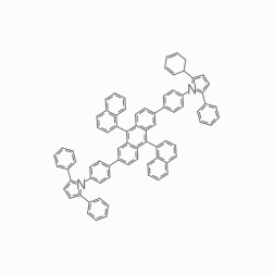 C1=CCC(c2ccc(-c3ccccc3)n2-c2ccc(-c3ccc4c(-c5cccc6ccccc56)c5cc(-c6ccc(-n7c(-c8ccccc8)ccc7-c7ccccc7)cc6)ccc5c(-c5cccc6ccccc56)c4c3)cc2)C=C1